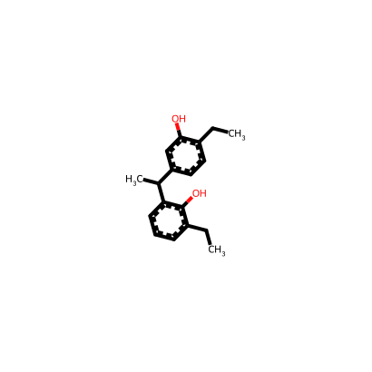 CCc1ccc(C(C)c2cccc(CC)c2O)cc1O